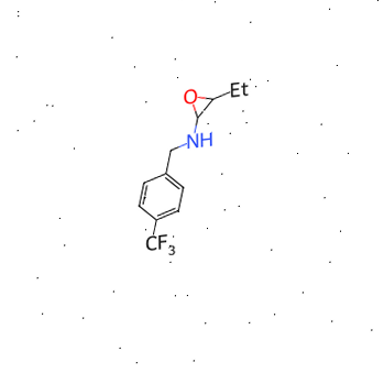 CCC1OC1NCc1ccc(C(F)(F)F)cc1